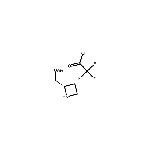 COC[C@@H]1CCN1.O=C(O)C(F)(F)F